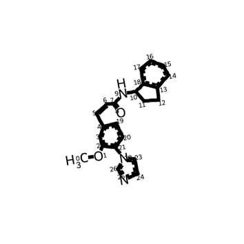 COc1cc(/C=C\C(=O)NC2CCc3ccccc32)ccc1-n1ccnc1